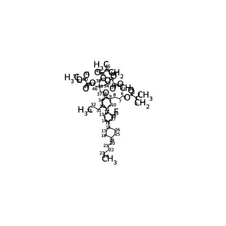 C=C(C)C(=O)OCCCc1cc(-c2ccc(C3CCC(CCCCC)CC3)cc2F)c(CCC)cc1OCC(COC(=O)C(=C)C)(COC(=O)C(=O)OC)COC(=O)C(=O)OC